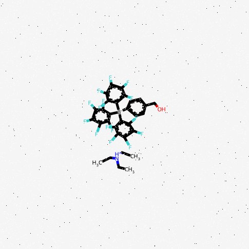 CC[NH+](CC)CC.OCc1ccc([B-](c2c(F)c(F)c(F)c(F)c2F)(c2c(F)c(F)c(F)c(F)c2F)c2c(F)c(F)c(F)c(F)c2F)cc1